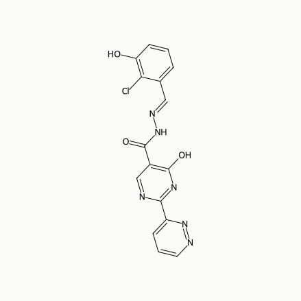 O=C(NN=Cc1cccc(O)c1Cl)c1cnc(-c2cccnn2)nc1O